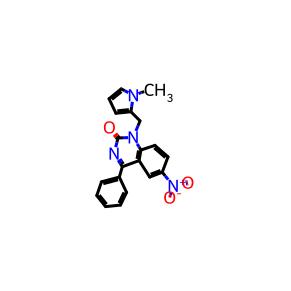 Cn1cccc1Cn1c(=O)nc(-c2ccccc2)c2cc([N+](=O)[O-])ccc21